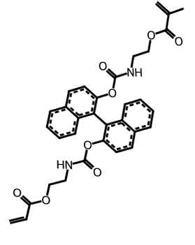 C=CC(=O)OCCNC(=O)Oc1ccc2ccccc2c1-c1c(OC(=O)NCCOC(=O)C(=C)C)ccc2ccccc12